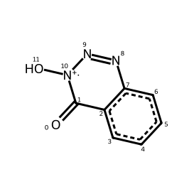 O=C1c2ccccc2N=N[N+]1O